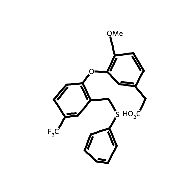 COc1ccc(CC(=O)O)cc1Oc1ccc(C(F)(F)F)cc1CSc1ccccc1